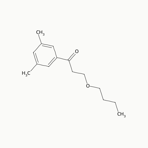 CCCCOCCC(=O)c1cc(C)cc(C)c1